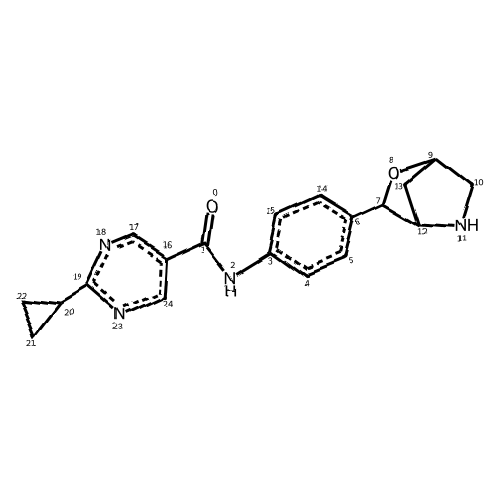 O=C(Nc1ccc(C2OC3CNC2C3)cc1)c1cnc(C2CC2)nc1